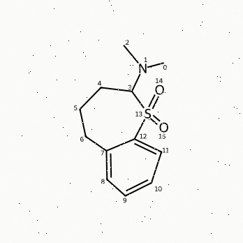 CN(C)C1CCCc2ccccc2S1(=O)=O